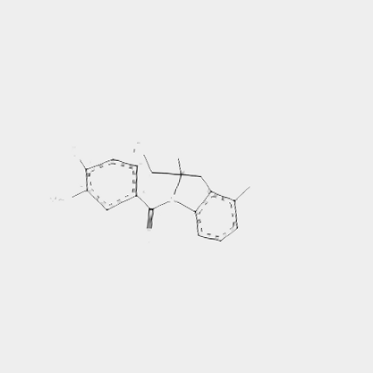 CCOC(=O)c1cccc2c1CC(CC(C)C)(C(=O)O)N2C(=O)c1ccc(C(C)(C)C)c(OC)c1